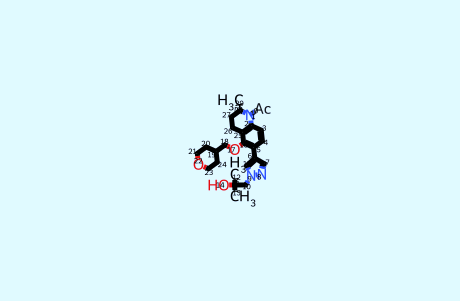 CC(=O)N1c2ccc(-c3cnn(CC(C)(C)O)c3)c(OCC3CCOCC3)c2CC[C@@H]1C